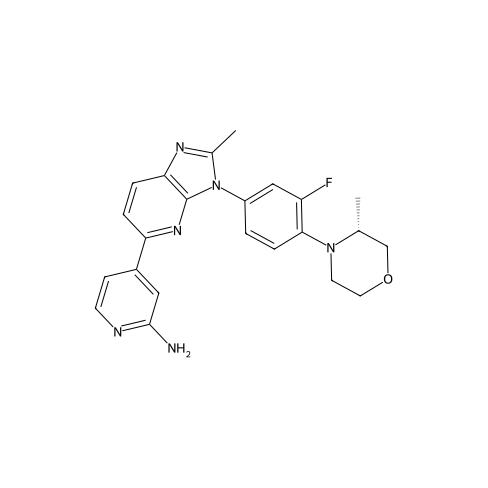 Cc1nc2ccc(-c3ccnc(N)c3)nc2n1-c1ccc(N2CCOC[C@H]2C)c(F)c1